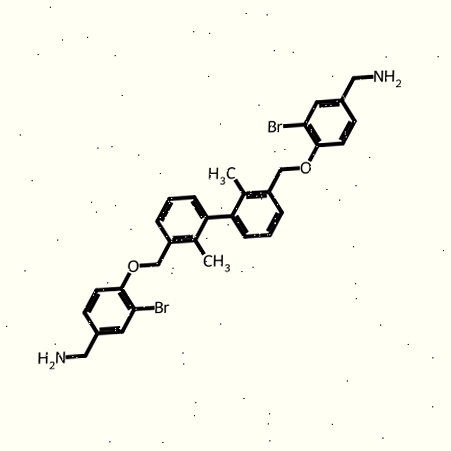 Cc1c(COc2ccc(CN)cc2Br)cccc1-c1cccc(COc2ccc(CN)cc2Br)c1C